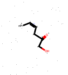 CCC/C=C\CC(=O)CO